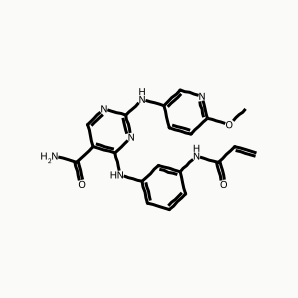 C=CC(=O)Nc1cccc(Nc2nc(Nc3ccc(OC)nc3)ncc2C(N)=O)c1